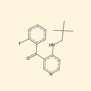 CC(C)(C)CNc1ccncc1C(=O)c1ccccc1F